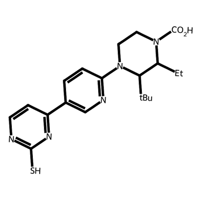 CCC1C(C(C)(C)C)N(c2ccc(-c3ccnc(S)n3)cn2)CCN1C(=O)O